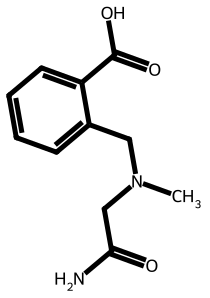 CN(CC(N)=O)Cc1ccccc1C(=O)O